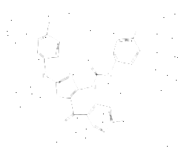 Cc1ccc(C(=O)c2sc(Nc3ccc(Cl)cc3)nc2NC(=O)Nc2ccc(F)cc2)cc1